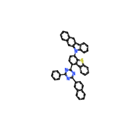 c1ccc(-c2nc(-c3ccc4ccccc4c3)nc(-c3ccc(-n4c5ccccc5c5cc6ccccc6cc54)c4sc5ccccc5c34)n2)cc1